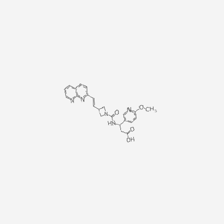 COc1ccc(C(CC(=O)O)NC(=O)N2CC(C=Cc3ccc4cccnc4n3)C2)cn1